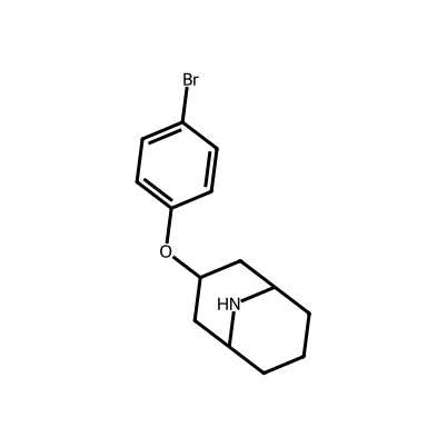 Brc1ccc(OC2CC3CCCC(C2)N3)cc1